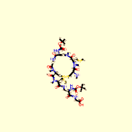 CN[C@H]1CSSC[C@@H](C(=O)N(C)[C@@H](CSC)C(=O)NC[C@@H](NC(=O)OC(C)(C)C)C(=O)NCC(=O)O)N(C)C(=O)CNC(=O)[C@H](NC(=O)OC(C)(C)C)CN(C)C(=O)[C@H](CSC)N(C)C1=O